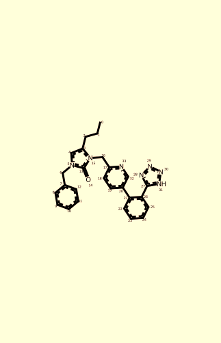 CCCc1cn(Cc2ccccc2)c(=O)n1Cc1ccc(-c2ccccc2-c2nnn[nH]2)cn1